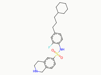 O=S(=O)(Nc1ccc(CCCC2CCCCC2)cc1F)c1ccc2c(c1)CCNC2